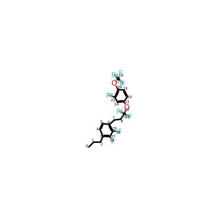 CCCc1ccc(CCC(F)(F)Oc2ccc(OC(F)(F)F)c(F)c2)c(F)c1F